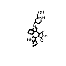 O=C1NC(=O)C(c2cn(CC3CCNC(CO)C3)c3ccccc23)=C1c1c[nH]c2sccc12